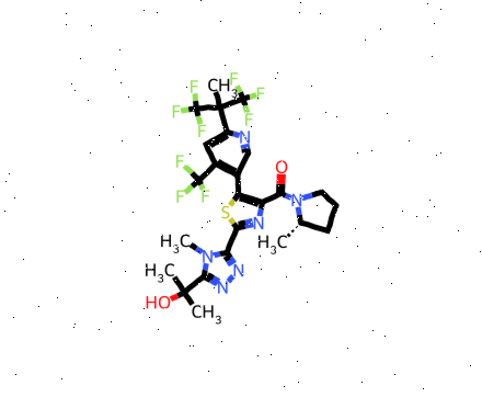 C[C@H]1CCCN1C(=O)c1nc(-c2nnc(C(C)(C)O)n2C)sc1-c1cnc(C(C)(C(F)(F)F)C(F)(F)F)cc1C(F)(F)F